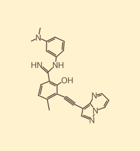 Cc1ccc(C(=N)Nc2cccc(N(C)C)c2)c(O)c1C#Cc1cnn2cccnc12